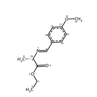 CCOC(=O)[C@H](C)N=Cc1ccc(OC)cc1